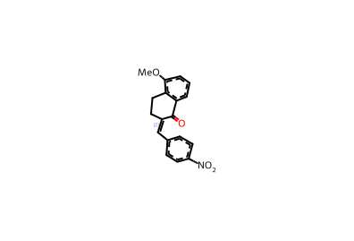 COc1cccc2c1CC/C(=C/c1ccc([N+](=O)[O-])cc1)C2=O